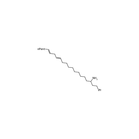 CCCCCC=CCC=CCCCCCCCCCC(N)CCC(C)C